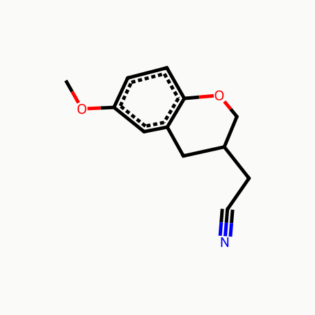 COc1ccc2c(c1)CC(CC#N)CO2